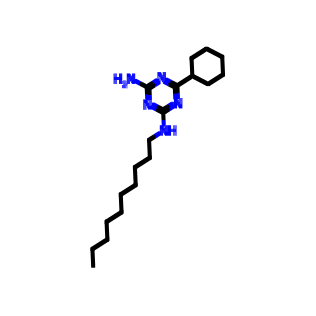 CCCCCCCCCCNc1nc(N)nc(C2CCCCC2)n1